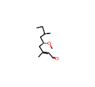 CCC(C)CC(CC(C)=CC=O)OC